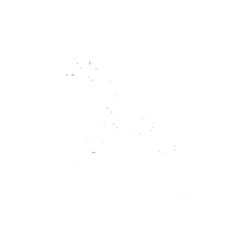 CC(C)(C)CCSc1cccc(-c2ccc(Cc3nc(-c4ccc(Cl)cc4Cl)cn3-c3cccc(N4CC(=O)NS4(=O)=O)c3)cc2)c1